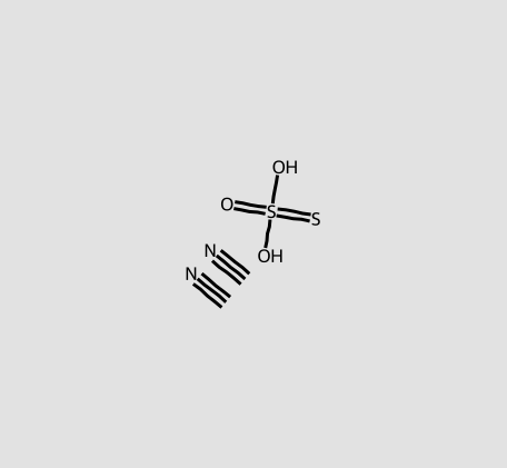 C#N.C#N.O=S(O)(O)=S